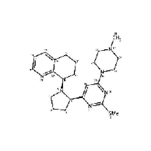 CSc1nc([C@H]2CCCN2[C@@H]2CCCc3cccnc32)cc(N2CCN(C)CC2)n1